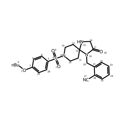 CCCCOc1ccc(S(=O)(=O)N2CCC3(CC2)NCC(=O)N3Cc2ccccc2C#N)cc1